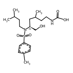 Cc1ccc(S(=O)(=O)N(CCC(C)C)[C@H](CO)CC(C)CCNC(=O)O)cc1